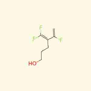 C=C(F)C(CCCO)=C(F)F